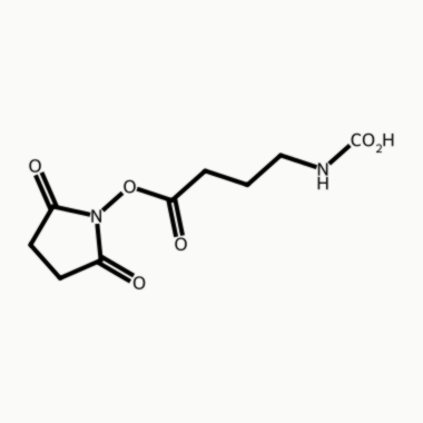 O=C(O)NCCCC(=O)ON1C(=O)CCC1=O